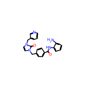 Nc1ccccc1NC(=O)c1ccc(Cn2ccn(Cc3cccnc3)c2=O)cc1